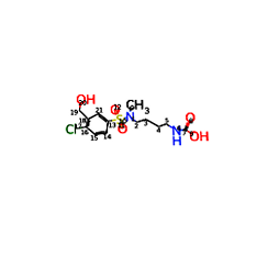 CN(CCCCNC(=O)O)S(=O)(=O)c1ccc(Cl)c(CO)c1